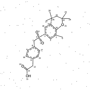 Cc1cc(S(=O)(=O)Cc2ccc(CC(=O)O)cc2)cc2c1OC(C)(C)CC2(C)C